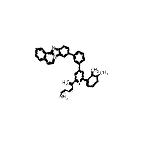 C=C(/C=C\C=C/N)c1cc(-c2cccc(-c3ccc4nc5c6ccccc6ccn5c4c3)c2)cc(C2=CC=CC(C)C2=C)n1